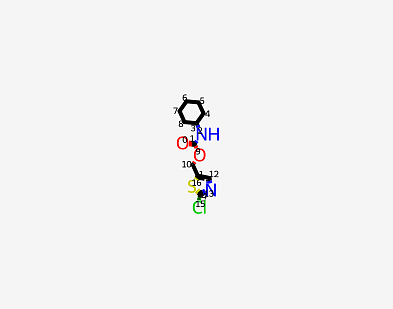 O=C(NC1CCCCC1)OCc1cnc(Cl)s1